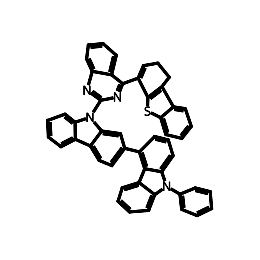 C1=C(c2nc(-n3c4ccccc4c4ccc(-c5cccc6c5c5ccccc5n6-c5ccccc5)cc43)nc3ccccc23)c2sc3ccccc3c2CC1